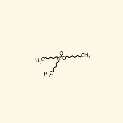 CCCCCCCOC(=O)N(CCCCCC)CCCCCC